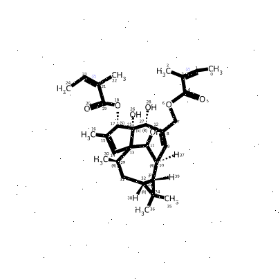 C/C=C(/C)C(=O)OCC1=C[C@@H]2C(O)C3(C=C(C)[C@H](OC(=O)/C(C)=C\C)[C@@]3(O)[C@@H]1O)[C@H](C)C[C@@H]1[C@H]2C1(C)C